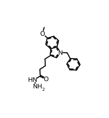 COc1ccc2c(c1)c(CCCC(=O)NN)cn2Cc1ccccc1